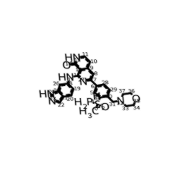 C[SH](=O)(P)c1cc(-c2cc3cc[nH]c(=O)c3c(Nc3ccc4cn[nH]c4c3)n2)ccc1CN1CCOCC1